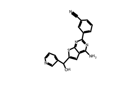 N#Cc1cccc(-c2nc(N)c3cc(C(O)c4cccnc4)sc3n2)c1